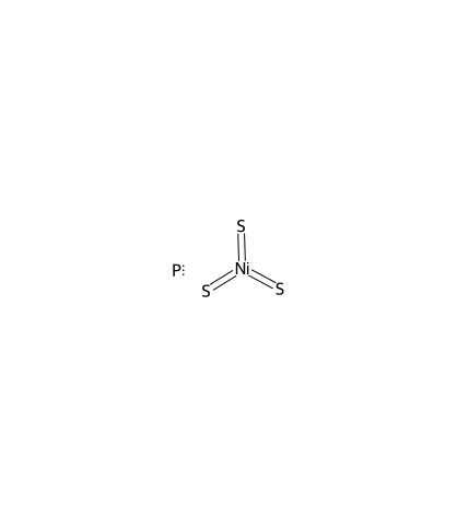 [P].[S]=[Ni](=[S])=[S]